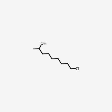 CC(O)CCCCCCCCl